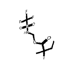 CCC(C)(I)C(=O)OCNS(=O)(=O)C(F)(F)F